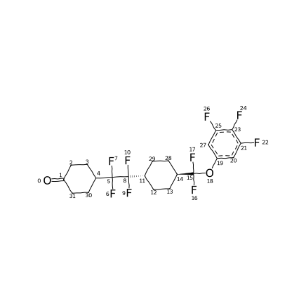 O=C1CCC(C(F)(F)C(F)(F)[C@H]2CC[C@H](C(F)(F)Oc3cc(F)c(F)c(F)c3)CC2)CC1